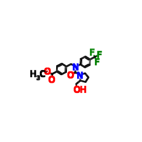 COC(=O)c1ccc(CN(C(=O)N2CCCC2CO)c2ccc(C(F)(F)F)cc2)cc1